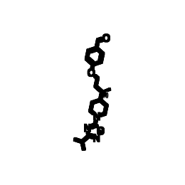 CC(C)c1noc(N2CCC([C@H](C)CCOc3ccc(C=O)cc3)CC2)n1